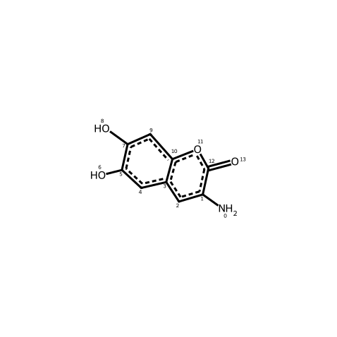 Nc1cc2cc(O)c(O)cc2oc1=O